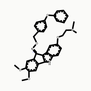 COc1cc2c(cc1OC)-c1[nH]c3ccc(OCCN(C)C)cc3c1/C2=N\OCc1ccc(Oc2ccccc2)cc1